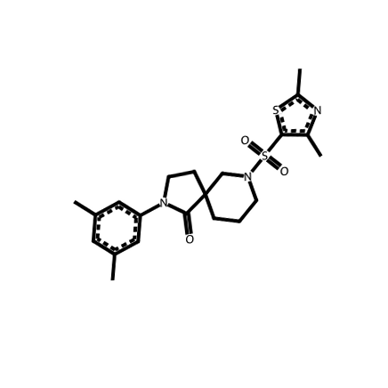 Cc1cc(C)cc(N2CCC3(CCCN(S(=O)(=O)c4sc(C)nc4C)C3)C2=O)c1